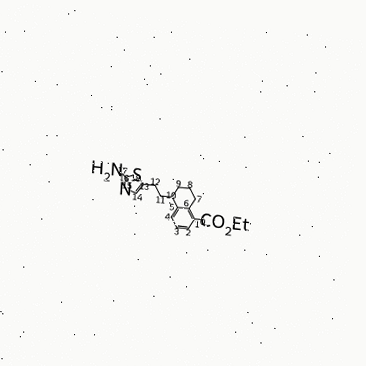 CCOC(=O)c1cccc2c1CCCC2CCc1cnc(N)s1